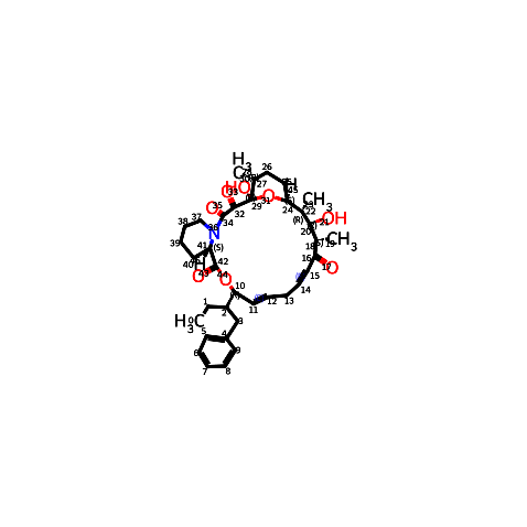 CCC(Cc1ccccc1)[C@@H]1/C=C/C/C=C/C(=O)[C@@H](C)[C@H](O)[C@@H](C)[C@@H]2CC[C@@H](C)[C@@](O)(O2)C(=O)C(=O)N2CCCC[C@H]2C(=O)O1